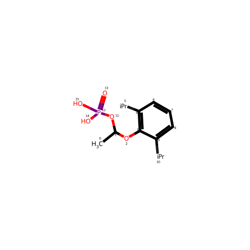 CC(Oc1c(C(C)C)cccc1C(C)C)OP(=O)(O)O